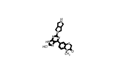 CN1C(=O)CSc2cc(-c3nc(N4CC5CNCC5C4)nc4[nH]cnc34)ccc21.Cl